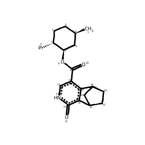 CC(C)[C@@H]1CC[C@@H](C)C[C@H]1OC(=O)c1c[nH]c(=O)c2c1C1CCC2C1